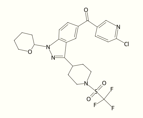 O=C(c1ccc(Cl)nc1)c1ccc2c(c1)c(C1CCN(S(=O)(=O)C(F)(F)F)CC1)nn2C1CCCCO1